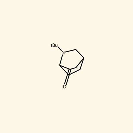 CC(C)(C)N1CC2CCC1C(=O)C2